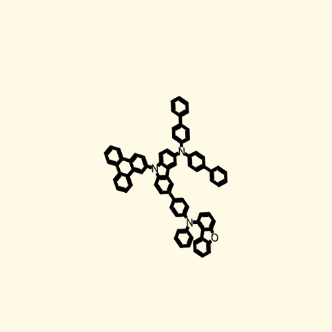 c1ccc(-c2ccc(N(c3ccc(-c4ccccc4)cc3)c3ccc4c(c3)c3cc(-c5ccc(N(c6ccccc6)c6cccc7oc8ccccc8c67)cc5)ccc3n4-c3ccc4c5ccccc5c5ccccc5c4c3)cc2)cc1